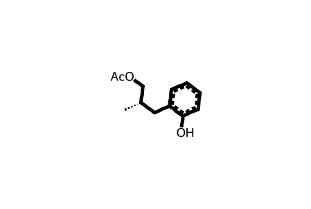 CC(=O)OC[C@@H](C)Cc1ccccc1O